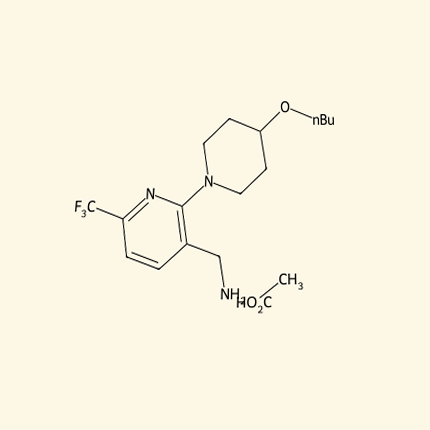 CC(=O)O.CCCCOC1CCN(c2nc(C(F)(F)F)ccc2CN)CC1